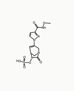 CONC(=O)c1ccn(C2=CC3CN(C2)C(=O)N3OS(=O)(=O)O)n1